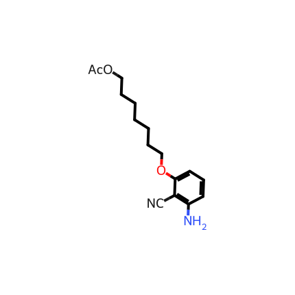 CC(=O)OCCCCCCCOc1cccc(N)c1C#N